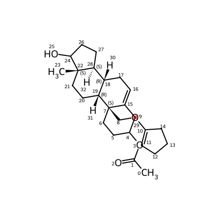 CC(=O)OC1CC[C@@]2(COC3=CCCC3)C(=CC[C@@H]3[C@H]2CC[C@]2(C)C(O)CC[C@@H]32)C1